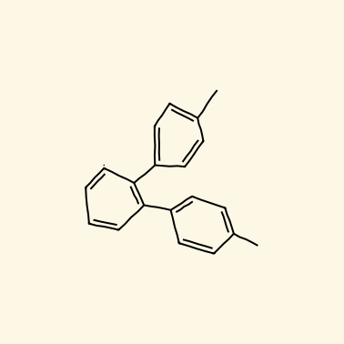 Cc1ccc(-c2[c]cccc2-c2ccc(C)cc2)cc1